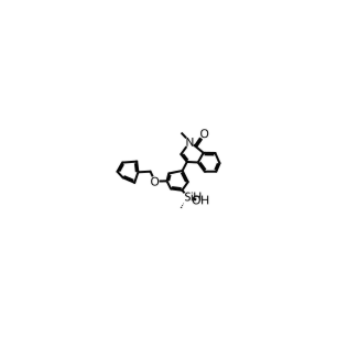 Cn1cc(-c2cc(OCc3ccccc3)cc([Si@@H](C)O)c2)c2ccccc2c1=O